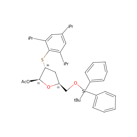 CC(=O)O[C@@H]1O[C@H](CO[Si](c2ccccc2)(c2ccccc2)C(C)(C)C)C[C@H]1Sc1c(C(C)C)cc(C(C)C)cc1C(C)C